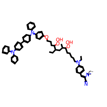 [C-]#[N+]/C(C#N)=C\c1ccc(N(CC)CCCCCC(OO)C(C)CC(CC)C(CCCOc2ccc(N(c3ccccc3)c3ccc(-c4ccc(N(c5ccccc5)c5ccccc5)cc4)cc3)cc2)OO)cc1